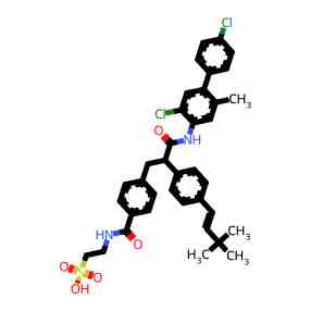 Cc1cc(NC(=O)C(Cc2ccc(C(=O)NCCS(=O)(=O)O)cc2)c2ccc(/C=C/C(C)(C)C)cc2)c(Cl)cc1-c1ccc(Cl)cc1